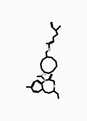 C=CC(C)CC/C=C(\C)OCC1CCCCC[C@H](C(C)N2C(=C)CCC(CC)CCC3C=CC(C)=CC=C32)CCC1